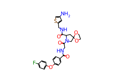 Nc1csc(CNC(=O)C2CC3(CN2C(=O)CNC(=O)c2ccc(Oc4ccc(F)cc4)cc2)OCCO3)c1